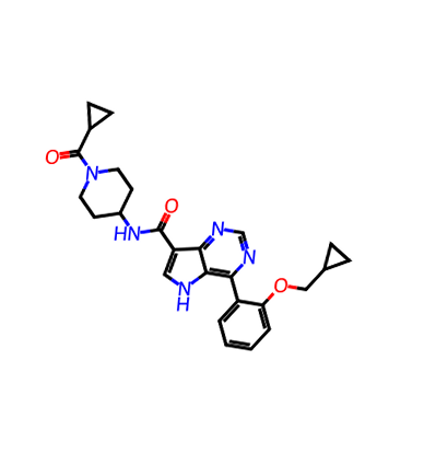 O=C(NC1CCN(C(=O)C2CC2)CC1)c1c[nH]c2c(-c3ccccc3OCC3CC3)ncnc12